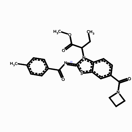 CCC(C(=O)OC)n1/c(=N/C(=O)c2ccc(C)cc2)sc2cc(C(=O)N3CCC3)ccc21